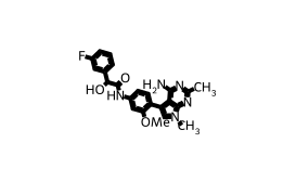 COc1cc(NC(=O)C(O)c2cccc(F)c2)ccc1-c1cn(C)c2nc(C)nc(N)c12